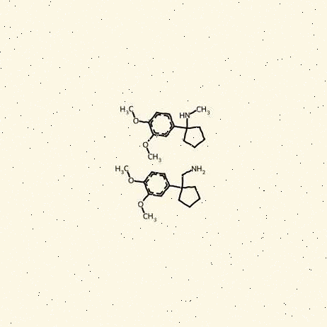 CNC1(c2ccc(OC)c(OC)c2)CCCC1.COc1ccc(C2(CN)CCCC2)cc1OC